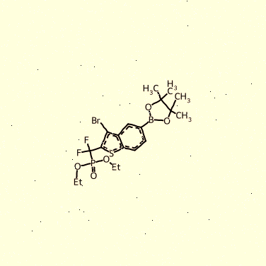 CCOP(=O)(OCC)C(F)(F)c1sc2ccc(B3OC(C)(C)C(C)(C)O3)cc2c1Br